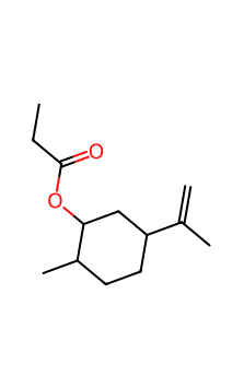 C=C(C)C1CCC(C)C(OC(=O)CC)C1